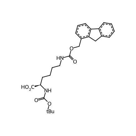 CC(C)(C)OC(=O)N[C@H](CCCCNC(=O)OCc1cccc2c1Cc1ccccc1-2)C(=O)O